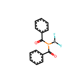 O=C(c1ccccc1)P(B(F)F)C(=O)c1ccccc1